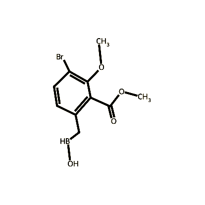 COC(=O)c1c(CBO)ccc(Br)c1OC